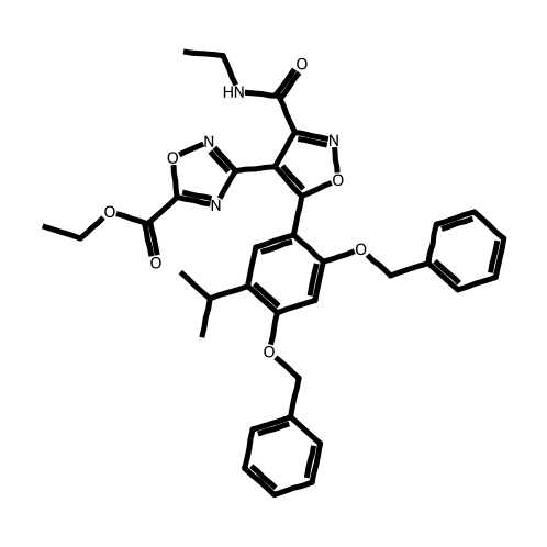 CCNC(=O)c1noc(-c2cc(C(C)C)c(OCc3ccccc3)cc2OCc2ccccc2)c1-c1noc(C(=O)OCC)n1